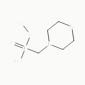 CCOP(=O)(O)CN1CC[N]CC1